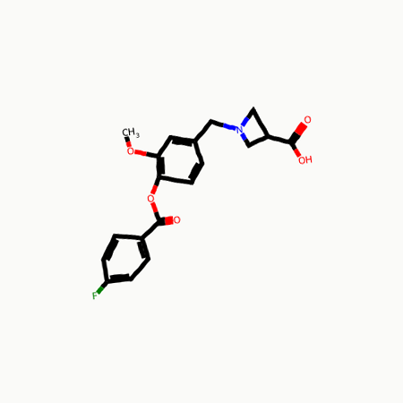 COc1cc(CN2CC(C(=O)O)C2)ccc1OC(=O)c1ccc(F)cc1